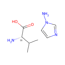 CC(C)[C@H](N)C(=O)O.Nn1ccnc1